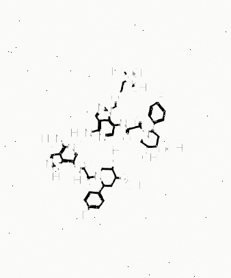 COC1CC(c2ccc(F)cc2)N(C(=O)C(=O)Nc2cnc(N)c3cn[nH]c23)CC1C.COC1C[C@H](c2ccc(F)cc2)N(C(=O)C(=O)Nc2cnc(N)c3cnn(COCC[Si](C)(C)C)c23)C[C@H]1C